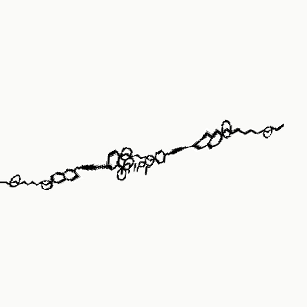 C=CCOCCCCCCOc1ccc2cc(C#Cc3ccc(OCCCCOc4ccc(C#Cc5ccc6cc(OCCCCCCOCC=C)ccc6c5)cc4C(=O)OCCC)cc3)ccc2c1